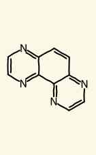 c1cnc2c(ccc3nccnc32)n1